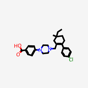 CCC1(C)CCC(c2ccc(Cl)cc2)=C(CN2CCN(c3ccc(C(=O)O)cc3)CC2)C1